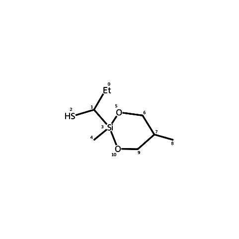 CCC(S)[Si]1(C)OCC(C)CO1